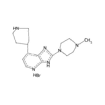 Br.CN1CCN(c2nc3c(C4CCNCC4)ccnc3[nH]2)CC1